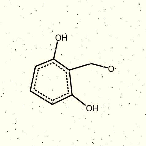 [O]Cc1c(O)cccc1O